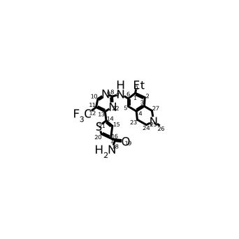 CCc1cc2c(cc1Nc1ncc(C(F)(F)F)c(-c3cc(C(N)=O)cs3)n1)CCN(C)C2